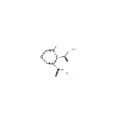 CCCCOC(=O)c1cccc(CCCC)c1C(=O)OCCCC